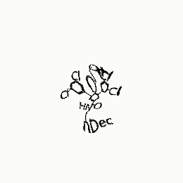 CCCCCCCCCCCCNC(=O)c1cc(-c2cc(Cl)cc(Cl)c2)c(OCCO)c(-c2cc(Cl)cc(Cl)c2)c1